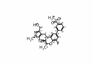 Cc1c(CN2C(=O)[C@@H](C)Oc3c(F)cc(-c4cccc(S(C)(=O)=O)c4)cc32)c(CO)nn1C